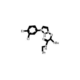 CCCCC(ON1C=CN(c2ccc(CC)c(Cl)c2)N1)C(=O)NCC(C)C